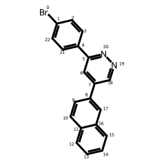 Brc1ccc(-c2cc(-c3ccc4ccccc4c3)cnn2)cc1